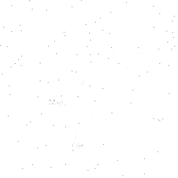 COC(=O)[C@H](C/C=C/c1ccccc1)CCO